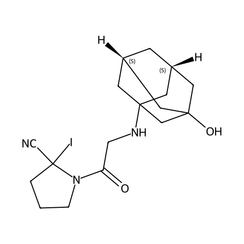 N#CC1(I)CCCN1C(=O)CNC12C[C@@H]3C[C@H](CC(O)(C3)C1)C2